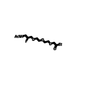 CCC(=O)COCCOCCOCC(F)CNC(C)=O